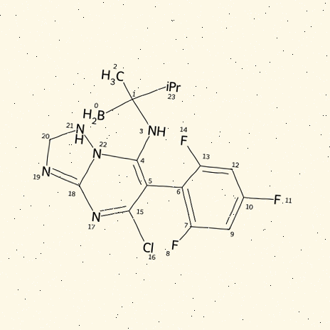 BC(C)(NC1=C(c2c(F)cc(F)cc2F)C(Cl)=NC2=NCNN21)C(C)C